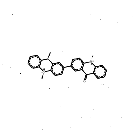 CN1c2ccccc2[Si@H](C)c2ccc(-c3ccc4c(c3)C(=O)c3ccccc3[Si@H]4C)cc21